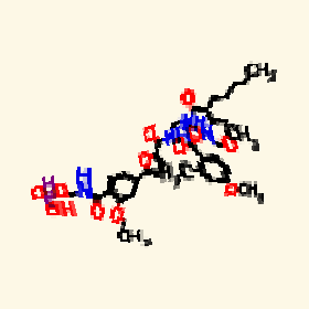 CCCCCC(C(=O)NCNC(=O)c1ccc(-c2ccc(C(=O)NCO[PH](=O)O)c(OCC)c2)o1)C(CC)N(C=O)OC(=O)c1ccc(OC)cc1C